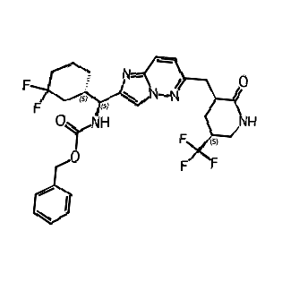 O=C(N[C@H](c1cn2nc(CC3C[C@H](C(F)(F)F)CNC3=O)ccc2n1)[C@H]1CCCC(F)(F)C1)OCc1ccccc1